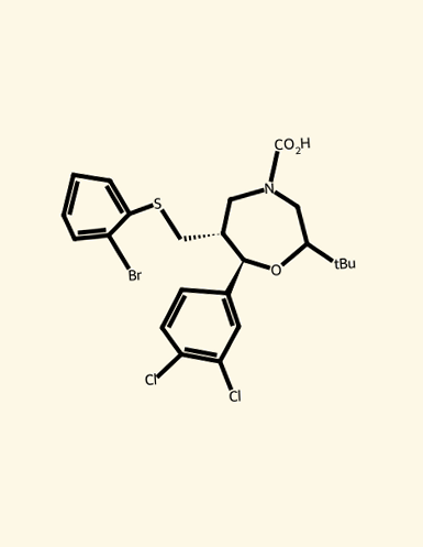 CC(C)(C)C1CN(C(=O)O)C[C@@H](CSc2ccccc2Br)[C@H](c2ccc(Cl)c(Cl)c2)O1